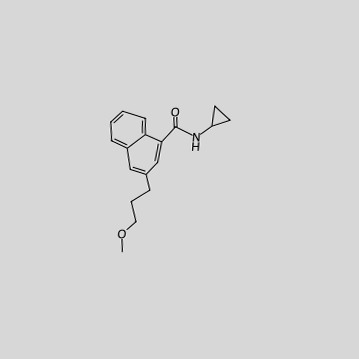 COCCCc1cc(C(=O)NC2CC2)c2ccccc2c1